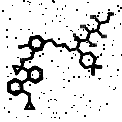 O=C([C@@H](O)[C@@H](O)[C@H](O)[C@@H](O)CO)N(CCCSc1ccc(Cl)c(CNC2(c3cnccc3-c3ccccc3OC3CC3)CC2)c1)C1CCS(=O)(=O)CC1